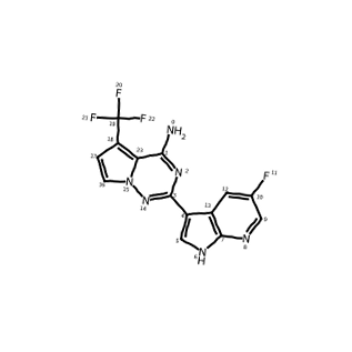 Nc1nc(-c2c[nH]c3ncc(F)cc23)nn2ccc(C(F)(F)F)c12